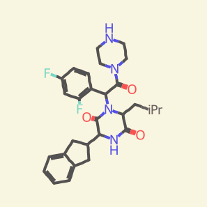 CC(C)CC1C(=O)NC(C2Cc3ccccc3C2)C(=O)N1C(C(=O)N1CCNCC1)c1ccc(F)cc1F